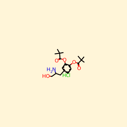 CC(C)(C)C(=O)Oc1ccc(CC(N)CO)cc1OC(=O)C(C)(C)C.Cl